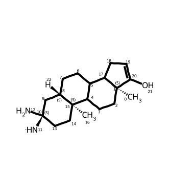 C[C@]12CCC3C(CC[C@H]4C[C@@]([NH])(N)CC[C@]34C)C1CC=C2O